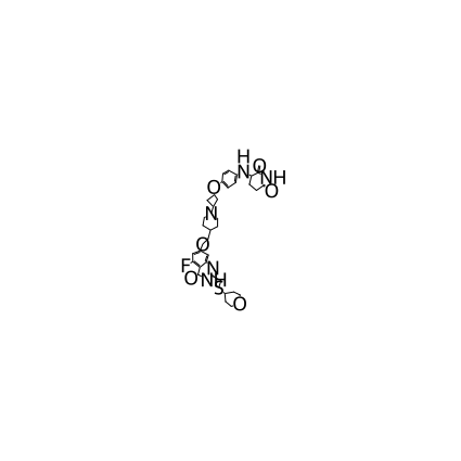 O=C1CCC(Nc2ccc(OC3CC(N4CCC(COc5cc(F)c6c(=O)[nH]c(CSC7CCOCC7)nc6c5)CC4)C3)cc2)C(=O)N1